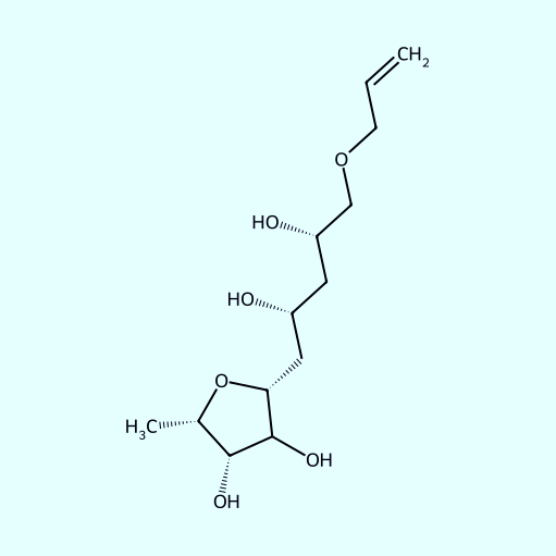 C=CCOC[C@@H](O)C[C@@H](O)C[C@H]1O[C@@H](C)[C@@H](O)C1O